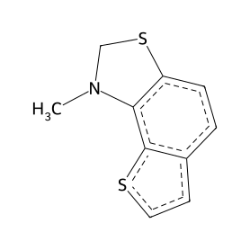 CN1CSc2ccc3ccsc3c21